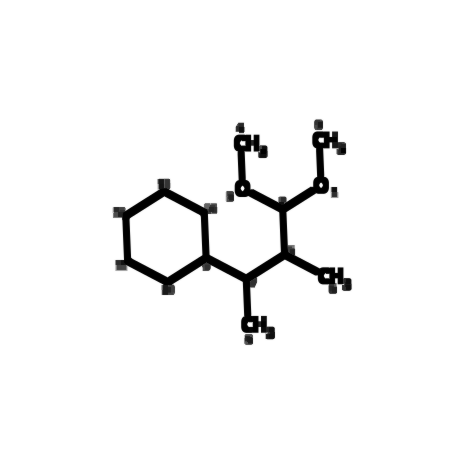 COC(OC)C(C)C(C)C1CCCCC1